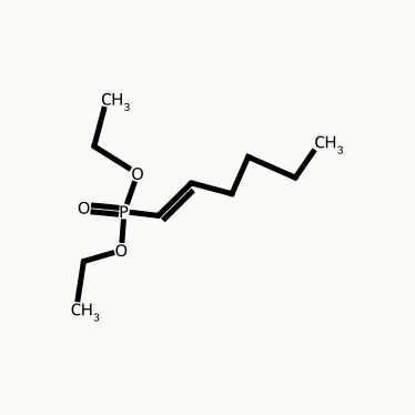 CCCCC=CP(=O)(OCC)OCC